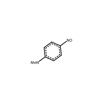 CNc1c[c]c(N=O)cc1